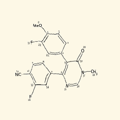 COc1ccc(-c2c(-c3ccc(C#N)c(F)c3)ncn(C)c2=O)cc1F